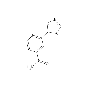 NC(=O)c1ccnc(-c2cncs2)c1